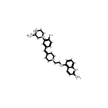 Cc1ccc2c(OCCN3CCC(=Cc4ccc(F)c(N5CCNC(C)C5)c4)CC3)cccc2n1